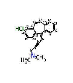 CN(C)CC#CC=C1c2ccccc2C=Cc2ccccc21.Cl